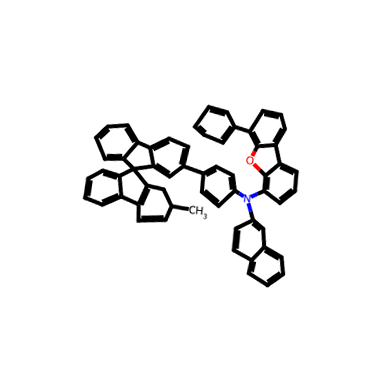 CC1C=CC2=C(C1)C1(c3ccccc32)c2ccccc2-c2ccc(-c3ccc(N(c4ccc5ccccc5c4)c4cccc5c4oc4c(-c6ccccc6)cccc45)cc3)cc21